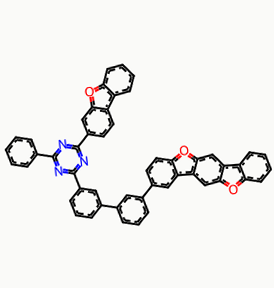 c1ccc(-c2nc(-c3cccc(-c4cccc(-c5ccc6oc7cc8c(cc7c6c5)oc5ccccc58)c4)c3)nc(-c3ccc4c(c3)oc3ccccc34)n2)cc1